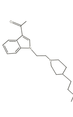 CCCCC1CCN(CCn2cc(C(C)=O)c3ccccc32)CC1